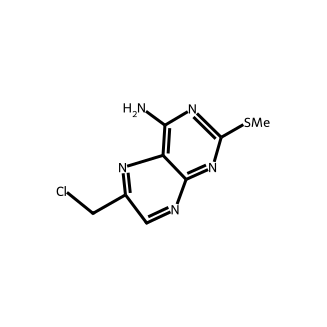 CSc1nc(N)c2nc(CCl)cnc2n1